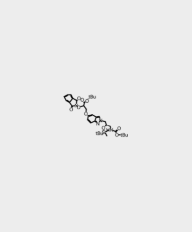 CC(C)(C)OC(=O)NC[C@H](Cn1cc2cc(OCC(ON3C(=O)c4ccccc4C3=O)C(=O)OC(C)(C)C)ccc2n1)O[Si](C)(C)C(C)(C)C